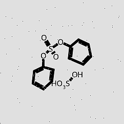 O=S(=O)(O)O.O=S(=O)(Oc1ccccc1)Oc1ccccc1